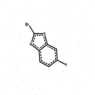 Brc1nc2ccc(I)cc2s1